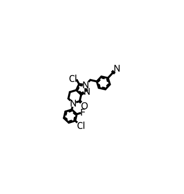 N#Cc1cccc(Cn2nc3c(c2Cl)CCN(c2cccc(Cl)c2F)C3=O)c1